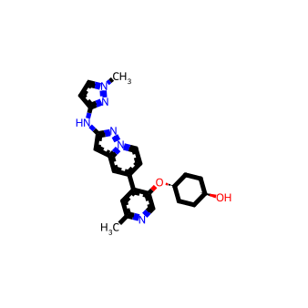 Cc1cc(-c2ccn3nc(Nc4ccn(C)n4)cc3c2)c(O[C@H]2CC[C@H](O)CC2)cn1